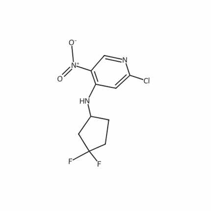 O=[N+]([O-])c1cnc(Cl)cc1NC1CCC(F)(F)C1